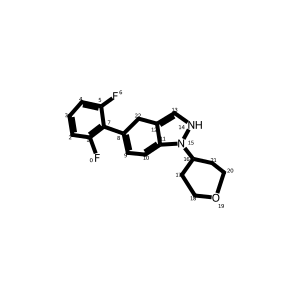 Fc1cccc(F)c1C1=CC=C2C(=CNN2C2CCOCC2)C1